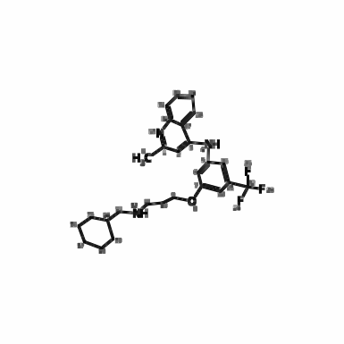 Cc1cc(Nc2cc(OCCCNCC3CCCCC3)cc(C(F)(F)F)c2)c2ccccc2n1